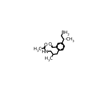 BC[C@H](C)c1ccc(CC(C)CNC(C)=O)c(C=O)c1